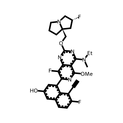 C#Cc1c(F)ccc2cc(O)cc(-c3nc(OC)c4c(N(C)CC)nc(OC[C@@]56CCCN5C[C@H](F)C6)nc4c3F)c12